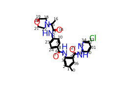 Cc1ccc(NC(=O)c2ccc(NC(=O)C(C)N3CCOCC3)cc2)c(C(=O)Nc2ccc(Cl)cn2)c1